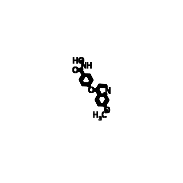 COc1ccc2c(Oc3ccc(C(=O)NO)cc3)ccnc2c1